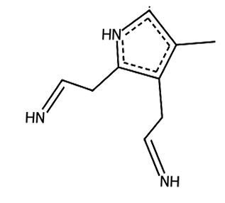 Cc1[c][nH]c(CC=N)c1CC=N